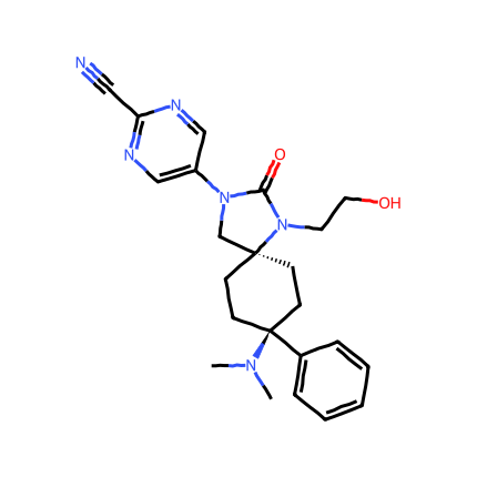 CN(C)[C@]1(c2ccccc2)CC[C@]2(CC1)CN(c1cnc(C#N)nc1)C(=O)N2CCO